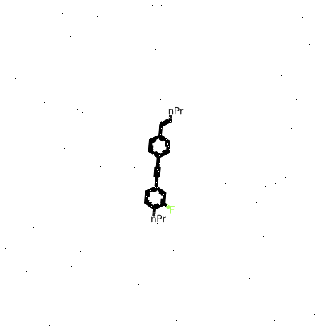 CCCC=Cc1ccc(C#Cc2ccc(CCC)c(F)c2)cc1